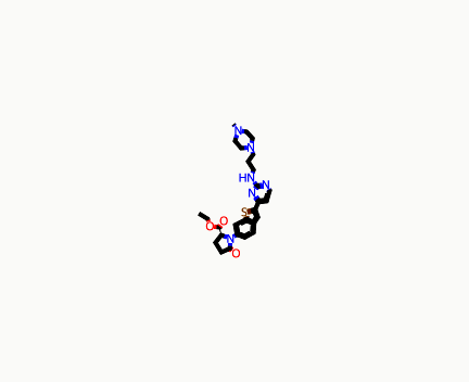 CCOC(=O)[C@H]1CCC(=O)N1c1ccc2cc(-c3ccnc(NCCCN4CCN(C)CC4)n3)sc2c1